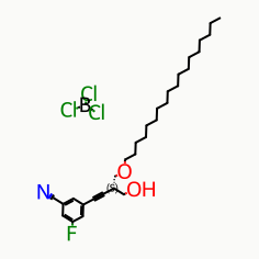 CCCCCCCCCCCCCCCCCCOC[C@@H](C#Cc1cc(F)cc(C#N)c1)CO.ClB(Cl)Cl